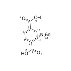 O=C(O)c1ccc(C(=O)O)cc1.[Na].[Sn]